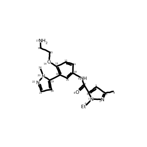 CCn1nc(C)cc1C(=O)Nc1ccc(OCCN)c(-c2ccnn2C)c1